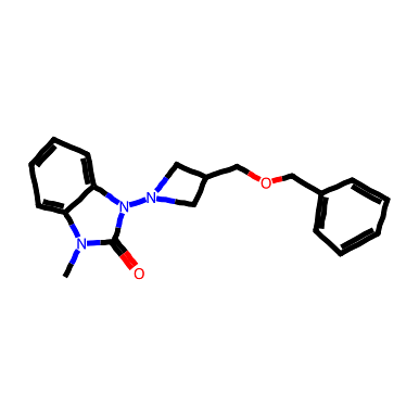 Cn1c(=O)n(N2CC(COCc3ccccc3)C2)c2ccccc21